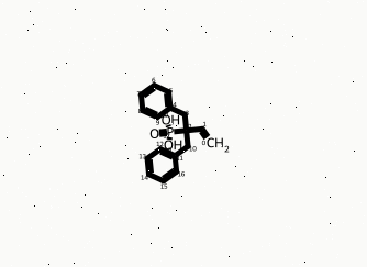 C=CC(Cc1ccccc1)(Cc1ccccc1)P(=O)(O)O